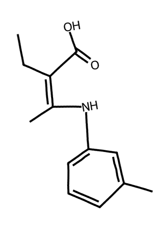 CCC(C(=O)O)=C(C)Nc1cccc(C)c1